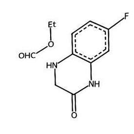 CCOC=O.O=C1CNc2ccc(F)cc2N1